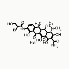 Br.CC1c2ccc(NC(=O)C(Br)CO)c(O)c2C(=O)C2=C(O)C3(O)C(=O)C(C(N)=O)=C(O)[C@@H](N(C)C)C3C(O)C21